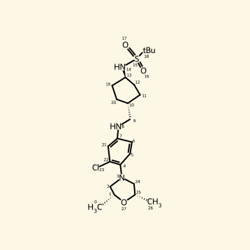 C[C@@H]1CN(c2ccc(NC[C@H]3CC[C@H](NS(=O)(=O)C(C)(C)C)CC3)cc2Cl)C[C@H](C)O1